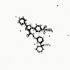 COC1(c2cccc(OCC(=O)c3nc(-c4ccccc4)cn3-c3ccc(S(N)(=O)=O)cc3)c2)CCOCC1